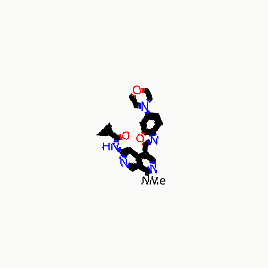 CNc1ncc(-c2nc3ccc(N4CCOCC4)cc3o2)c2cc(NC(=O)C3CC3)ncc12